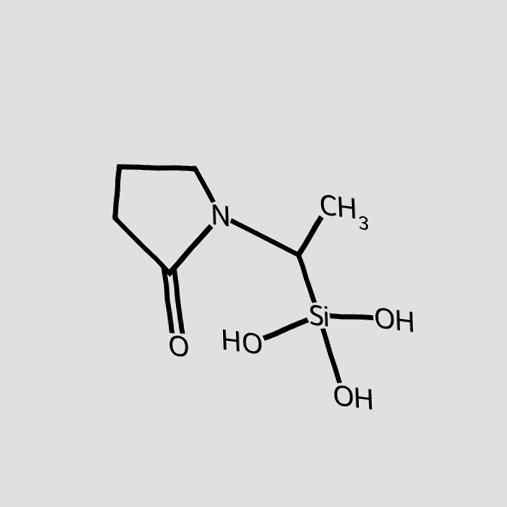 CC(N1CCCC1=O)[Si](O)(O)O